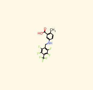 Cc1ccc(NCc2c(F)c(F)c(C(F)(F)F)c(F)c2F)cc1C(=O)O